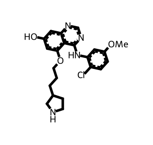 COc1ccc(Cl)c(Nc2ncnc3cc(O)cc(OCCCC4CCNC4)c23)c1